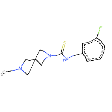 CN1CC2(C1)CN(C(=S)Nc1cccc(F)c1)C2